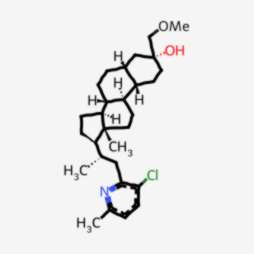 COC[C@@]1(O)CC[C@H]2[C@H](CC[C@@H]3[C@@H]2CC[C@]2(C)[C@@H]([C@@H](C)Cc4nc(C)ccc4Cl)CC[C@@H]32)C1